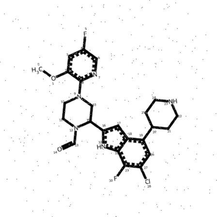 COc1cc(F)cnc1N1CCN(C=O)C(c2cc3c(C4CCNCC4)cc(Cl)c(F)c3[nH]2)C1